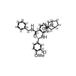 COc1ccc(CNc2nc(N3C4CCC3CC(=O)C4)ncc2C(=O)NCc2ccccc2)cc1Cl